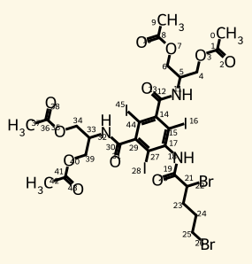 CC(=O)OCC(COC(C)=O)NC(=O)c1c(I)c(NC(=O)C(Br)CCCBr)c(I)c(C(=O)NC(COC(C)=O)COC(C)=O)c1I